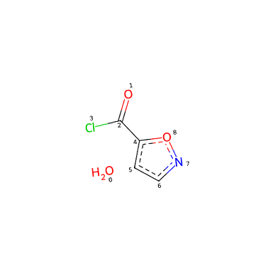 O.O=C(Cl)c1ccno1